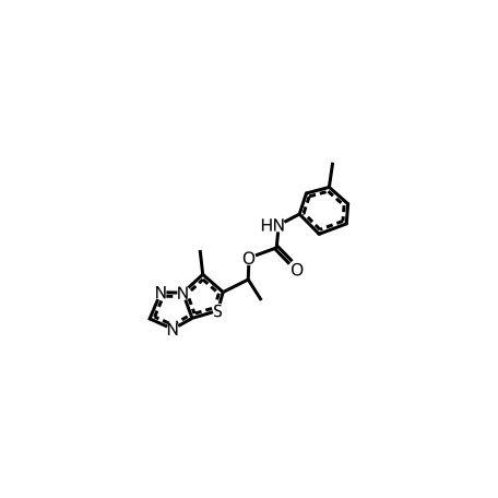 Cc1cccc(NC(=O)OC(C)c2sc3ncnn3c2C)c1